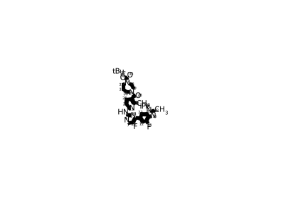 Cc1nc(Nc2ncc(F)c(-c3cc(F)c4nc(C)n(C(C)C)c4c3)n2)ccc1C(=O)N1CCCN(C(=O)OC(C)(C)C)CC1